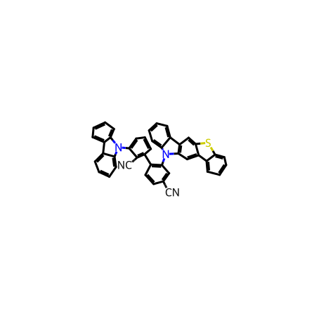 N#Cc1ccc(-c2cccc(-n3c4ccccc4c4ccccc43)c2C#N)c(-n2c3ccccc3c3cc4sc5ccccc5c4cc32)c1